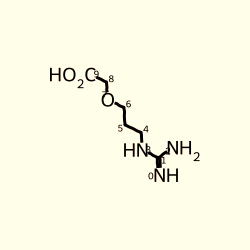 N=C(N)NCCCOCC(=O)O